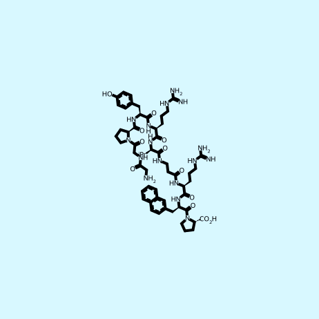 CC(C)[C@@H](NC(=O)[C@H](CCCNC(=N)N)NC(=O)[C@H](Cc1ccc(O)cc1)NC(=O)[C@@H]1CCCN1C(=O)CNC(=O)CN)C(=O)NCCC(=O)N[C@@H](CCCNC(=N)N)C(=O)N[C@H](Cc1ccc2ccccc2c1)C(=O)N1CCC[C@H]1C(=O)O